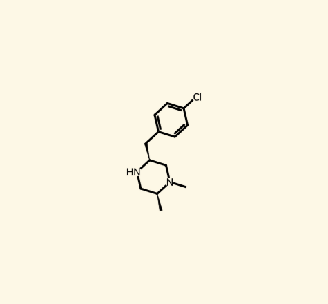 C[C@H]1CN[C@@H](Cc2ccc(Cl)cc2)CN1C